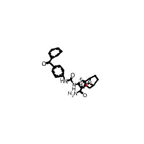 CN1C2CCC1c1sc(NC(=O)Nc3ccc(C(=O)c4ccccc4)cc3)c(C(N)=O)c1C2